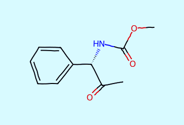 COC(=O)N[C@H](C(C)=O)c1ccccc1